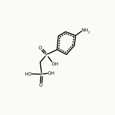 Nc1ccc(P(=O)(O)CP(=O)(O)O)cc1